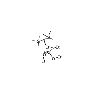 CCN([Si](C)(C)C)[Si](C)(C)C.CCO[SiH](OCC)OCC